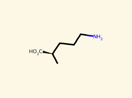 C[C@H](CCCN)C(=O)O